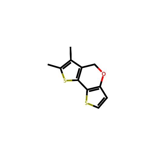 Cc1sc2c(c1C)COc1ccsc1-2